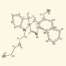 CC1(C)c2ccccc2N(CCOCCBr)C12C=Nc1c(c(CBr)cc3ccccc13)O2